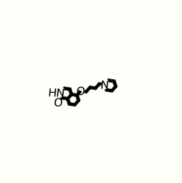 O=C1NCCC2C(OCCCCN3CCCCC3)CCCC12